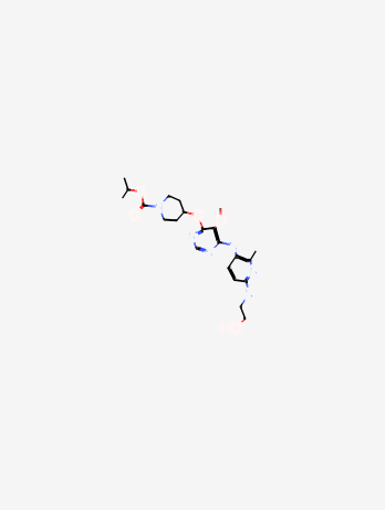 COc1c(Nc2ccc(NCCO)nc2C)ncnc1OC1CCN(C(=O)OC(C)C)CC1